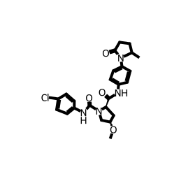 CO[C@@H]1C[C@H](C(=O)Nc2ccc(N3C(=O)CCC3C)cc2)N(C(=O)Nc2ccc(Cl)cc2)C1